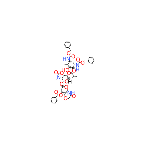 CC1C[C@@H]2OC(O[C@@H]3C[C@@H](OC(=O)c4ccccc4)C4(COCC(=O)N4)CO3)C3C(OC(=O)N3C)C2O[C@@H]1O[C@@H]1C(NC(=O)OCc2ccccc2)C[C@@H](NC(=O)OCc2ccccc2)C(C)[C@H]1O